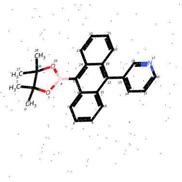 CC1(C)OB(c2c3ccccc3c(-c3cccnc3)c3ccccc23)OC1(C)C